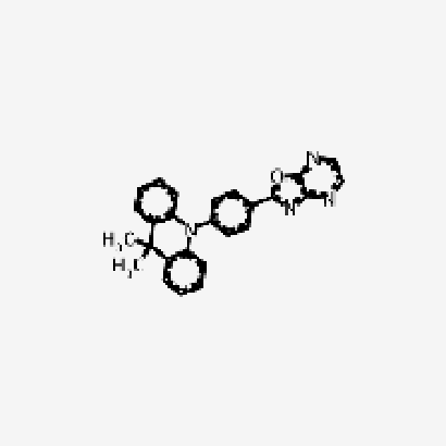 CC1(C)c2ccccc2N(c2ccc(-c3nc4nccnc4o3)cc2)c2ccccc21